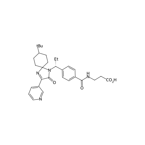 CC[C@H](c1ccc(C(=O)NCCC(=O)O)cc1)N1C(=O)C(c2cccnc2)=NC12CCC(C(C)(C)C)CC2